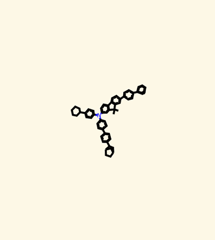 CC1(C)c2cc(-c3ccc(-c4c#cccc4)cc3)ccc2-c2ccc(N(c3ccc(-c4ccc(C5CC6CCC5C6)cc4)cc3)c3ccc(C4CCCCC4)cc3)cc21